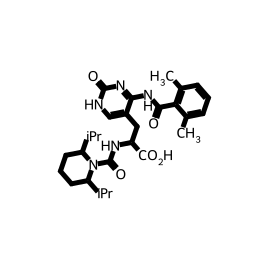 Cc1cccc(C)c1C(=O)Nc1nc(=O)[nH]cc1CC(NC(=O)N1C(C(C)C)CCCC1C(C)C)C(=O)O